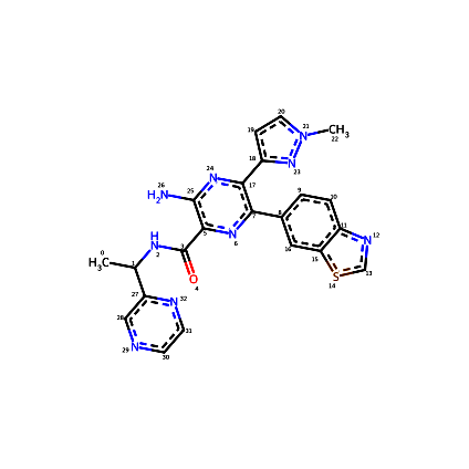 CC(NC(=O)c1nc(-c2ccc3ncsc3c2)c(-c2ccn(C)n2)nc1N)c1cnccn1